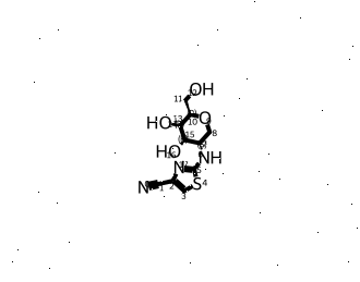 N#Cc1csc(N[C@H]2CO[C@H](CO)[C@H](O)[C@@H]2O)n1